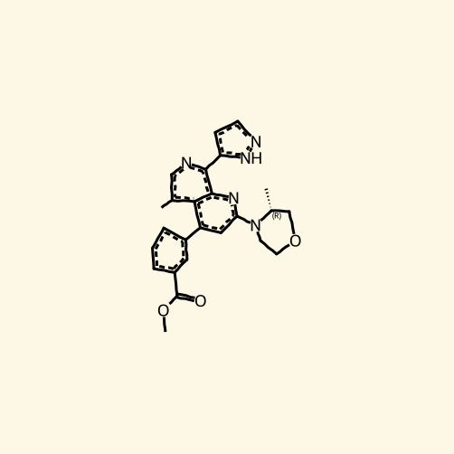 COC(=O)c1cccc(-c2cc(N3CCOC[C@H]3C)nc3c(-c4ccn[nH]4)ncc(C)c23)c1